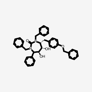 O=C1N(Cc2ccccc2)C(c2ccccc2)[C@H](O)[C@@H](O)[C@@H](Cc2ccc(OCc3ccccc3)cc2)N1Cc1ccccc1